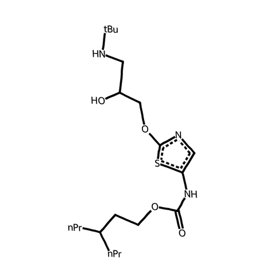 CCCC(CCC)CCOC(=O)Nc1cnc(OCC(O)CNC(C)(C)C)s1